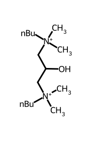 CCCC[N+](C)(C)CC(O)C[N+](C)(C)CCCC